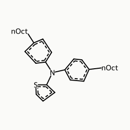 CCCCCCCCc1ccc(N(c2ccc(CCCCCCCC)cc2)c2cccs2)cc1